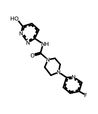 O=C(Nc1ccc(O)nn1)N1CCN(c2ccc(F)cn2)CC1